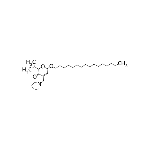 CCCCCCCCCCCCCCCCOC1C=C(CN2CCCC2)C(=O)C(C(C)C)O1